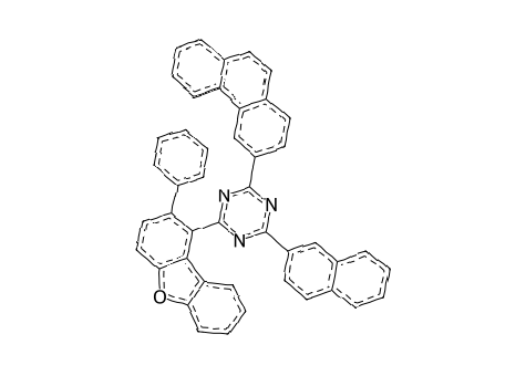 c1ccc(-c2ccc3oc4ccccc4c3c2-c2nc(-c3ccc4ccccc4c3)nc(-c3ccc4ccc5ccccc5c4c3)n2)cc1